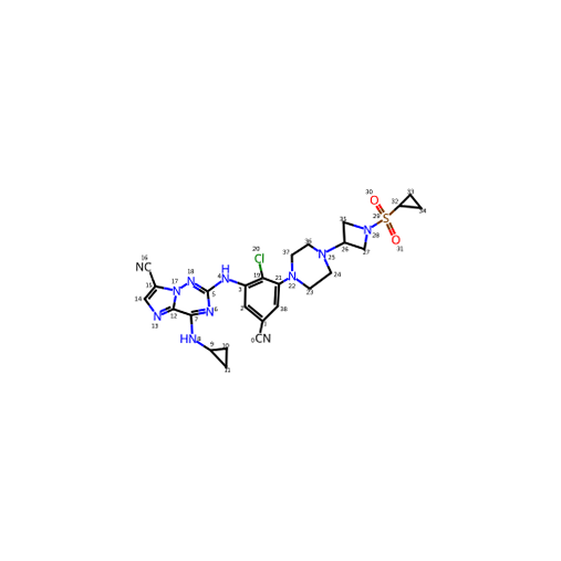 N#Cc1cc(Nc2nc(NC3CC3)c3ncc(C#N)n3n2)c(Cl)c(N2CCN(C3CN(S(=O)(=O)C4CC4)C3)CC2)c1